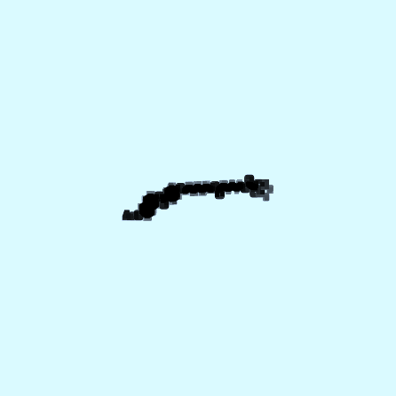 C=C(C)C(=O)OCCCCCC(=O)OCCCCCCCOc1ccc(C(=O)Oc2ccc3cc(OC(C)=O)ccc3c2)cc1